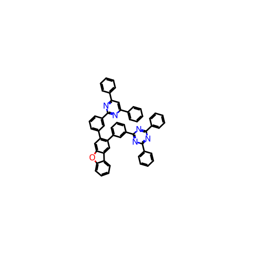 c1ccc(-c2cc(-c3ccccc3)nc(-c3cccc(-c4cc5oc6ccccc6c5cc4-c4cccc(-c5nc(-c6ccccc6)nc(-c6ccccc6)n5)c4)c3)n2)cc1